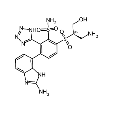 NC[C@H](CO)S(=O)(=O)c1ccc(-c2cccc3nc(N)[nH]c23)c(-c2nnn[nH]2)c1S(N)(=O)=O